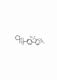 C/C=C\C(=C(C)C)c1ccc(C(=O)OC2(CC)CCCC2)cc1